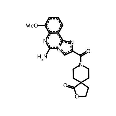 COc1cccc2c1nc(N)n1cc(C(=O)N3CCC4(CCOC4=O)CC3)nc21